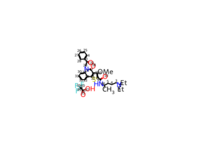 CCN(CC)CCCC(C)NC(=O)c1sc2c(c1OC)c(=O)n(CC(=O)c1ccccc1)c1ccccc21.O=C(O)C(F)(F)F